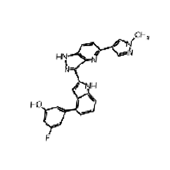 Cn1cc(-c2ccc3[nH]nc(-c4cc5c(-c6cc(O)cc(F)c6)cccc5[nH]4)c3n2)cn1